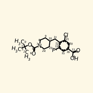 CC(C)(C)OC(=O)N1CCC(Cc2c(F)cc(C(=O)O)cc2Cl)CC1